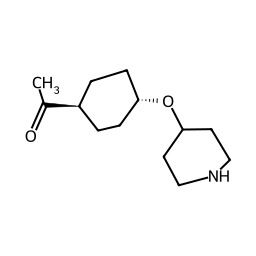 CC(=O)[C@H]1CC[C@H](OC2CCNCC2)CC1